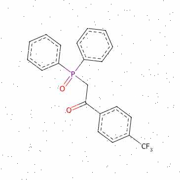 O=C(CP(=O)(c1ccccc1)c1ccccc1)c1ccc(C(F)(F)F)cc1